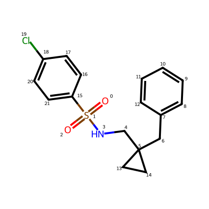 O=S(=O)(NCC1(Cc2ccccc2)CC1)c1ccc(Cl)cc1